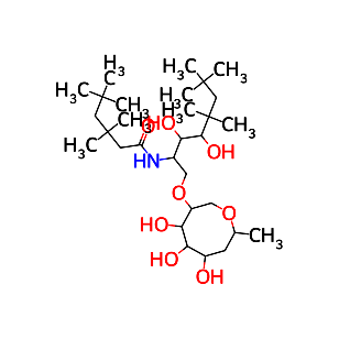 CC1CC(O)C(O)C(O)C(OCC(NC(=O)CC(C)(C)CC(C)(C)C)C(O)C(O)C(C)(C)CC(C)(C)C)CO1